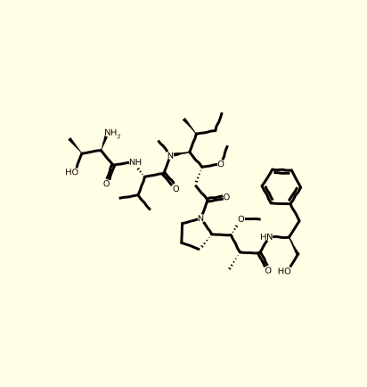 CC[C@H](C)[C@@H]([C@@H](CC(=O)N1CCC[C@H]1[C@H](OC)[C@@H](C)C(=O)N[C@H](CO)Cc1ccccc1)OC)N(C)C(=O)[C@@H](NC(=O)[C@H](N)[C@H](C)O)C(C)C